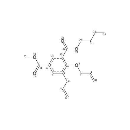 C=CCOc1c(CC=C)cc(C(=O)OC)cc1C(=O)OCCCC